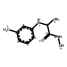 CCCCC(Nc1cccc(C)c1)C(=O)NO